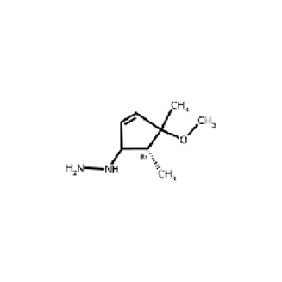 COC1(C)C=CC(NN)[C@H]1C